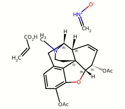 C=CC(=O)O.C=[NH+][O-].CC(=O)Oc1ccc2c3c1O[C@H]1[C@@H](OC(C)=O)C=C[C@H]4[C@@H](C2)N(C)CC[C@@]341